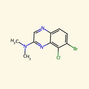 CN(C)c1cnc2ccc(Br)c(Cl)c2n1